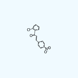 O=C(C=Cc1ccc([N+](=O)[O-])cc1)c1ccccc1Cl